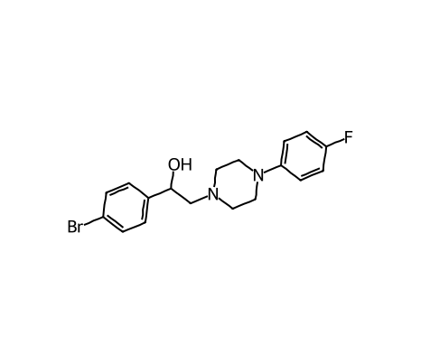 OC(CN1CCN(c2ccc(F)cc2)CC1)c1ccc(Br)cc1